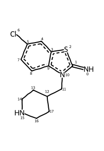 N=c1sc2cc(Cl)ccc2n1CC1CCNCC1